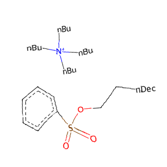 CCCCCCCCCCCCOS(=O)(=O)c1ccccc1.CCCC[N+](CCCC)(CCCC)CCCC